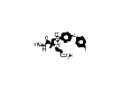 CC(CS(=O)(=O)c1ccc(Oc2ccc(F)cc2)cc1)(NCCC(=O)O)C(=O)NO